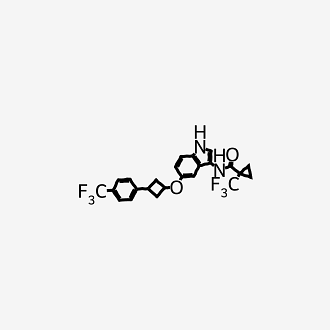 O=C(Nc1c[nH]c2ccc(OC3CC(c4ccc(C(F)(F)F)cc4)C3)cc12)C1(C(F)(F)F)CC1